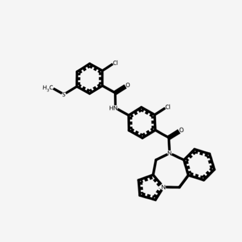 CSc1ccc(Cl)c(C(=O)Nc2ccc(C(=O)N3Cc4cccn4Cc4ccccc43)c(Cl)c2)c1